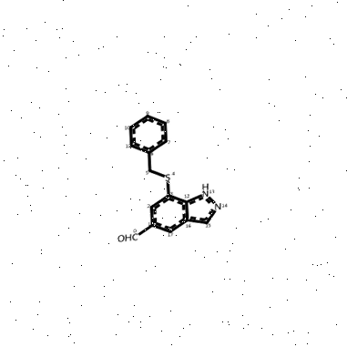 O=Cc1cc(SCc2ccccc2)c2[nH]ncc2c1